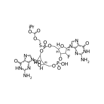 CC(C)OC(=O)OCSP1(=O)OC[C@H]2O[C@@H](n3cnc4c(=O)[nH]c(N)nc43)C(F)C2OP(=O)(O)OC[C@H]2O[C@@H](n3cnc4c(=O)[nH]c(N)nc43)C(O1)C2O